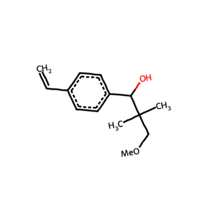 C=Cc1ccc(C(O)C(C)(C)COC)cc1